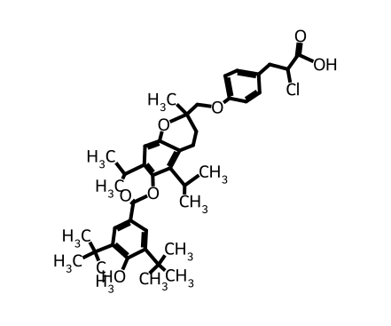 CC(C)c1cc2c(c(C(C)C)c1OC(=O)c1cc(C(C)(C)C)c(O)c(C(C)(C)C)c1)CCC(C)(COc1ccc(CC(Cl)C(=O)O)cc1)O2